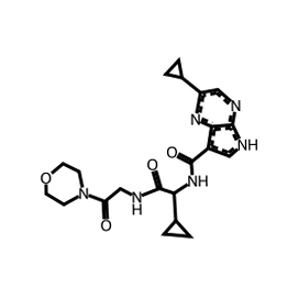 O=C(NC(C(=O)NCC(=O)N1CCOCC1)C1CC1)c1c[nH]c2ncc(C3CC3)nc12